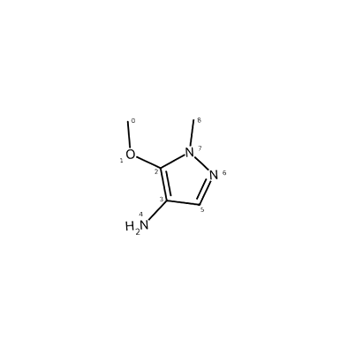 COc1c(N)cnn1C